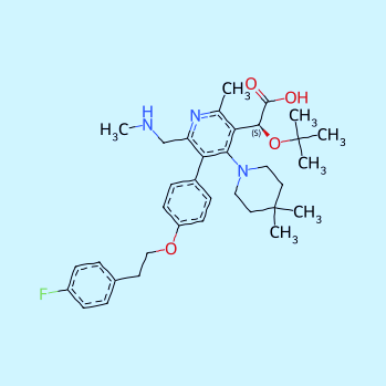 CNCc1nc(C)c([C@H](OC(C)(C)C)C(=O)O)c(N2CCC(C)(C)CC2)c1-c1ccc(OCCc2ccc(F)cc2)cc1